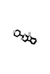 c1ccc2c(c1)[nH]c1nc(C3CCOCC3)ncc12